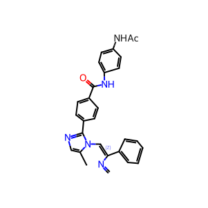 C=N/C(=C\n1c(C)cnc1-c1ccc(C(=O)Nc2ccc(NC(C)=O)cc2)cc1)c1ccccc1